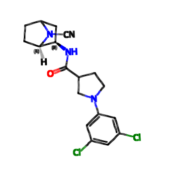 N#CN1C2CC[C@@H]1[C@H](NC(=O)C1CCN(c3cc(Cl)cc(Cl)c3)C1)C2